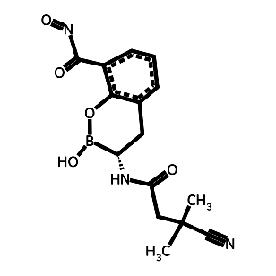 CC(C)(C#N)CC(=O)N[C@H]1Cc2cccc(C(=O)N=O)c2OB1O